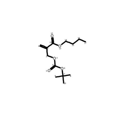 C=C(COC(=O)OC(C)(C)C)C(=O)OCCCC